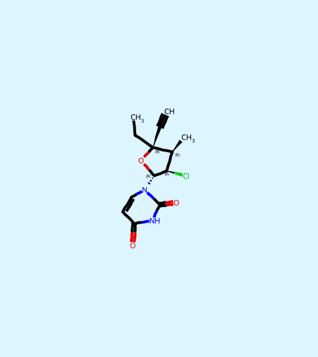 C#C[C@]1(CC)O[C@@H](n2ccc(=O)[nH]c2=O)[C@H](Cl)[C@@H]1C